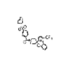 O=C(c1ccc(S(=O)(=O)[C@@H]2CCOC2)cc1)N1CCC2(CC1)Oc1ccccc1-n1c(C(F)(F)F)ccc12